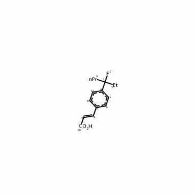 CCCC(F)(CC)c1ccc(/C=C/C(=O)O)cc1